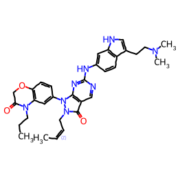 C/C=C\Cn1c(=O)c2cnc(Nc3ccc4c(CCN(C)C)c[nH]c4c3)nc2n1-c1ccc2c(c1)N(CCC)C(=O)CO2